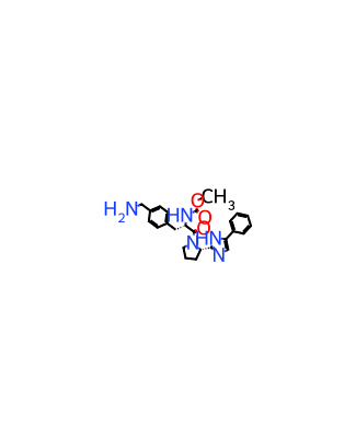 COC(=O)N[C@@H](Cc1ccc(CN)cc1)C(=O)N1CCC[C@H]1c1ncc(-c2ccccc2)[nH]1